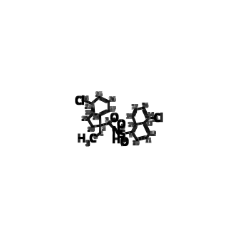 CCC1(C(=O)NS(=O)(=O)c2cccc3c(Cl)cccc23)CCc2c(Cl)cccc21